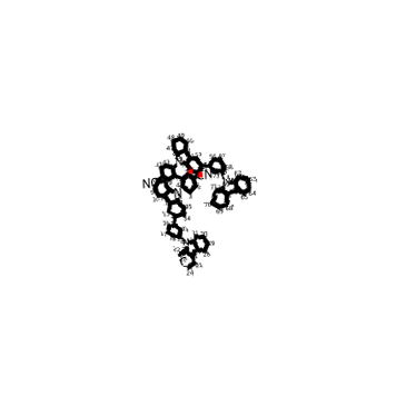 N#Cc1ccc(-n2c3ccccc3c3cc(-c4cccc(-n5c6ccccc6c6ccccc65)c4)ccc32)c(-c2cc(C#N)ccc2-n2c3ccccc3c3cc(-c4cccc(-n5c6ccccc6c6ccccc65)c4)ccc32)c1